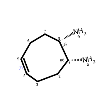 N[C@@H]1CC/C=C\CC[C@@H]1N